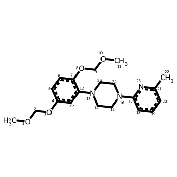 COCOc1ccc(OCOC)c(N2CCN(c3cccc(C)n3)CC2)c1